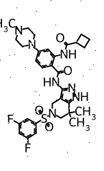 CN1CCN(c2ccc(C(=O)Nc3n[nH]c4c3CN(S(=O)(=O)c3cc(F)cc(F)c3)CC4(C)C)c(NC(=O)C3CCC3)c2)CC1